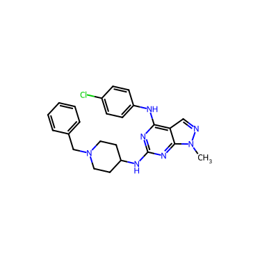 Cn1ncc2c(Nc3ccc(Cl)cc3)nc(NC3CCN(Cc4ccccc4)CC3)nc21